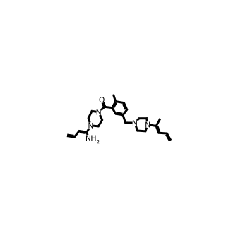 C=C/C=C(\C)N1CCN(Cc2ccc(C)c(C(=O)N3CCN(/C(N)=C/C=C)CC3)c2)CC1